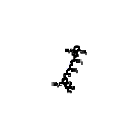 CC(=O)c1cc2c(C(=O)O)cc(OC(=O)/C=C(C)/C=C/C=C(C)/C=C/C3=C(C)CCCC3(C)C)cc2oc1=O